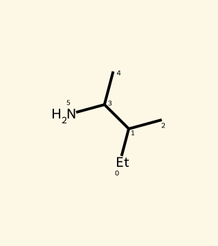 CCC(C)C(C)N